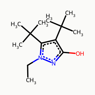 CCn1nc(O)c(C(C)(C)C)c1C(C)(C)C